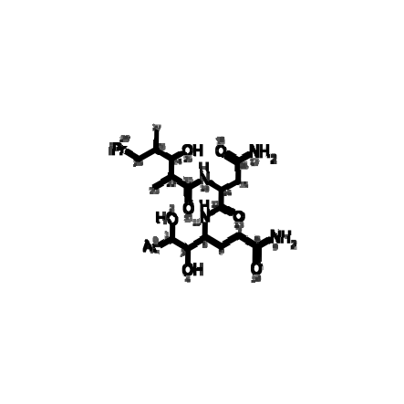 CC(=O)C(O)C(O)C(CCC(N)=O)NC(=O)C(CC(N)=O)NC(=O)C(C)C(O)C(C)CC(C)C